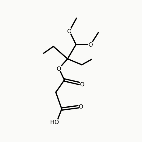 CCC(CC)(OC(=O)CC(=O)O)C(OC)OC